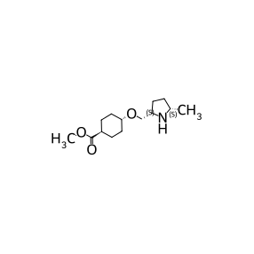 COC(=O)[C@H]1CC[C@H](OC[C@@H]2CC[C@H](C)N2)CC1